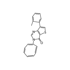 Cc1ccccc1-c1csc2c(=O)n(C3=CC=CC=CC=C3)cnc12